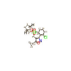 OC1[C@@H]2CC[C@H]1CC(OCc1c(-c3c(Cl)cccc3Cl)noc1C1CC1)C2